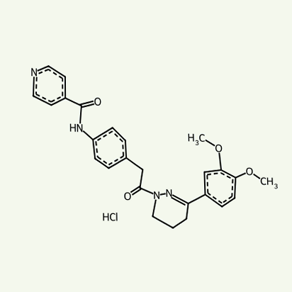 COc1ccc(C2=NN(C(=O)Cc3ccc(NC(=O)c4ccncc4)cc3)CCC2)cc1OC.Cl